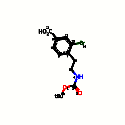 CC(C)(C)OC(=O)NCCc1ccc(C(=O)O)cc1Br